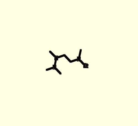 CCN(C)CCN(C)N(C)C